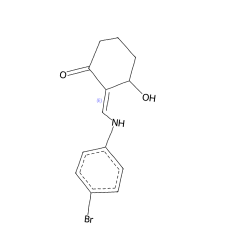 O=C1CCCC(O)/C1=C\Nc1ccc(Br)cc1